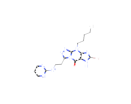 CCCCCn1c2nc(Br)[nH]c2c(=O)n2c(CCNc3ncccn3)nnc12